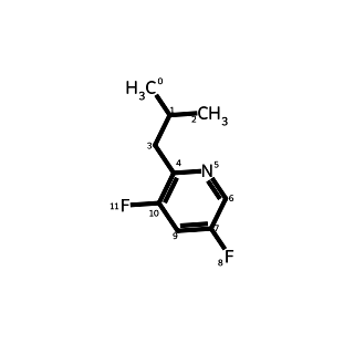 CC(C)Cc1ncc(F)cc1F